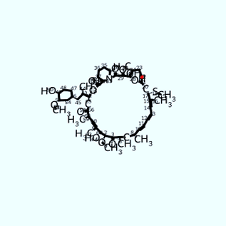 CO[C@@H]1C(=O)[C@H](C)C[C@H](C)/C=C/C=C/C=C(\C)[C@@H](SC)C[C@@H]2CC[C@@H](C)[C@@](O)(O2)C(=O)C(=O)N2CCCC[C@H]2C(=O)O[C@H]([C@H](C)C[C@@H]2CC[C@H](O)[C@H](OC)C2)CC(=O)[C@H](C)/C=C(\C)[C@H]1O